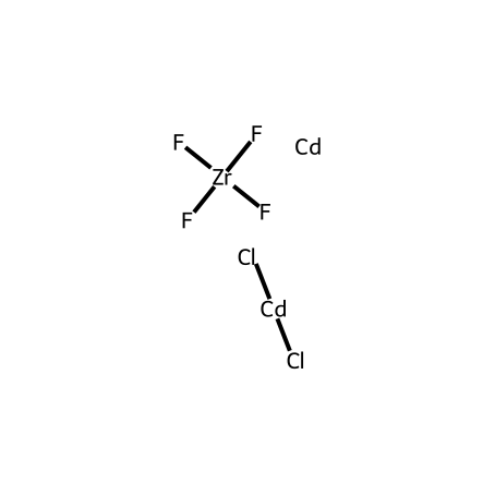 [Cd].[Cl][Cd][Cl].[F][Zr]([F])([F])[F]